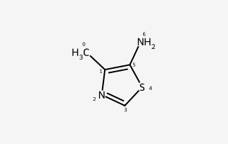 Cc1ncsc1N